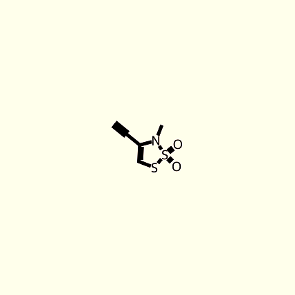 C#CC1=CSS(=O)(=O)N1C